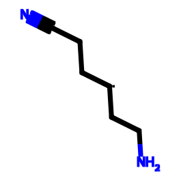 N#CCC[CH]CCN